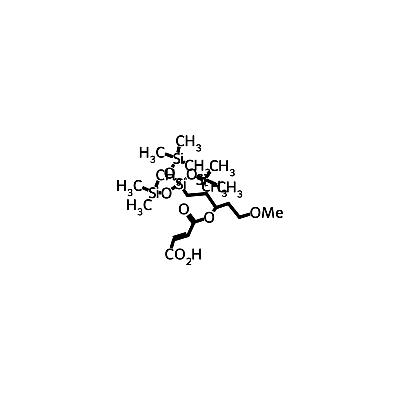 COCCC(CC[Si](O[Si](C)(C)C)(O[Si](C)(C)C)O[Si](C)(C)C)OC(=O)C=CC(=O)O